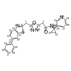 O=C(Cc1nnc(Cc2nc3ccc(-c4ccccc4)cc3s2)o1)NC1(c2cccnc2)CC1